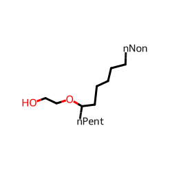 CCCCCCCCCCCCCCC(CCCCC)OCCO